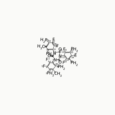 Cc1c(P)c(F)c(F)c(-n2c(=O)n(-c3c(F)c(P)c(F)c(P)c3F)c(=O)n(-c3c(F)c(F)c(P)c(C)c3P)c2=O)c1P